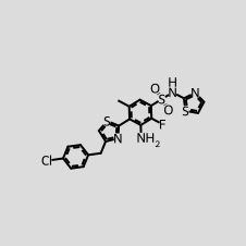 Cc1cc(S(=O)(=O)Nc2nccs2)c(F)c(N)c1-c1nc(Cc2ccc(Cl)cc2)cs1